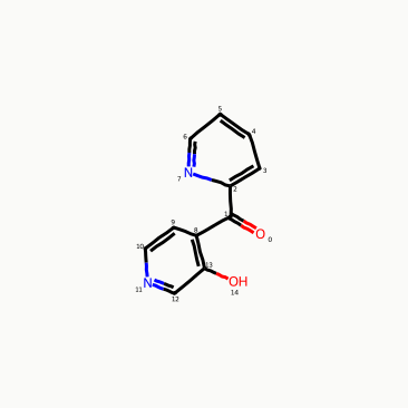 O=C(c1ccccn1)c1ccncc1O